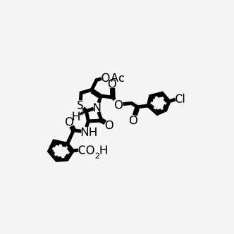 CC(=O)OCC1=C(C(=O)OCC(=O)c2ccc(Cl)cc2)N2C(=O)C(NC(=O)c3ccccc3C(=O)O)[C@@H]2SC1